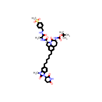 CC(NC(=O)[C@@H]1Cc2cc(CCCCCCc3ccc4c(c3)n(C)c(=O)n4C3CCC(=O)NC3=O)cc3c2N1C(=O)[C@@H](NC(=O)OC(C)(C)C)CC3)C(=O)NCc1ccc(S(C)(=O)=O)cc1